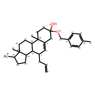 C=CCC1C=C2CC(O)(OCc3ccc(C)cc3)CCC2(C)C2CCC3(C)C(C(C)=O)CCC3C12